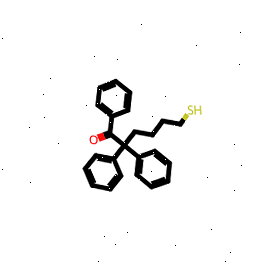 O=C(c1ccccc1)C(CCCCS)(c1ccccc1)c1ccccc1